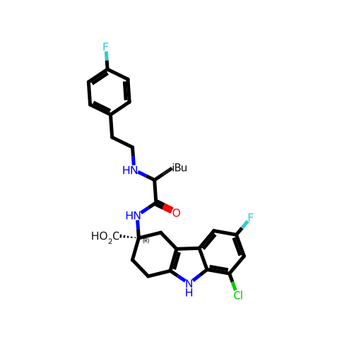 CCC(C)C(NCCc1ccc(F)cc1)C(=O)N[C@]1(C(=O)O)CCc2[nH]c3c(Cl)cc(F)cc3c2C1